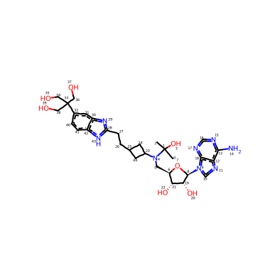 CC(C)(O)N(C[C@H]1O[C@@H](n2cnc3c(N)ncnc32)[C@H](O)[C@@H]1O)C1CC(CCc2nc3cc(C(CO)(CO)CO)ccc3[nH]2)C1